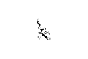 C#CC(C)(C)NC(=O)OCCF